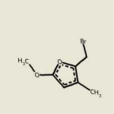 COc1cc(C)c(CBr)o1